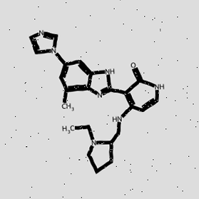 CCN1CCCC1CNc1cc[nH]c(=O)c1-c1nc2c(C)cc(-n3ccnc3)cc2[nH]1